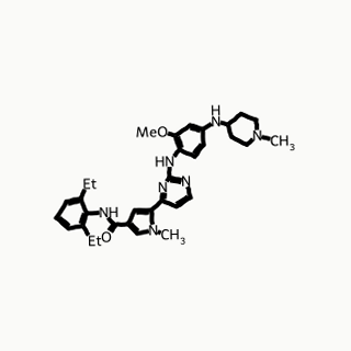 CCc1cccc(CC)c1NC(=O)c1cc(-c2ccnc(Nc3ccc(NC4CCN(C)CC4)cc3OC)n2)n(C)c1